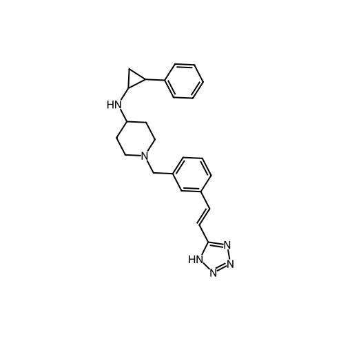 C(=C\c1nnn[nH]1)/c1cccc(CN2CCC(NC3CC3c3ccccc3)CC2)c1